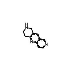 c1cc2nc3c(cc2cn1)CNCC3